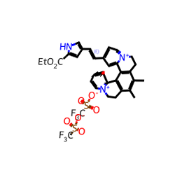 CCOC(=O)c1cc(/C=C/c2cc[n+]3c(c2)-c2c(c(C)c(C)c4c2-c2c5ccccc5cc[n+]2CC4)CC3)c[nH]1.O=S(=O)([O-])C(F)(F)F.O=S(=O)([O-])C(F)(F)F